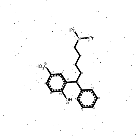 CC(C)N(CCCCC(c1ccccc1)c1cc(C(=O)O)ccc1O)C(C)C